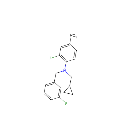 O=[N+]([O-])c1ccc(N(Cc2cccc(F)c2)CC2CC2)c(F)c1